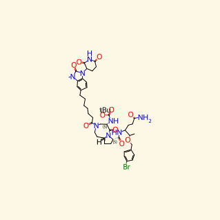 CC(OCc1ccc(Br)cc1)C(CCC(N)=O)NC(=O)[C@@H]1CC[C@@H]2CCN(C(=O)CCCCCCc3ccc4c(c3)n(C)c(=O)n4C3CCC(=O)NC3=O)C[C@H](NC(=O)OC(C)(C)C)C(=O)N21